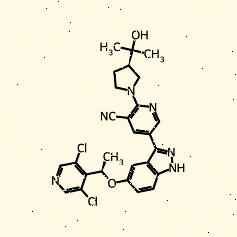 C[C@@H](Oc1ccc2[nH]nc(-c3cnc(N4CC[C@@H](C(C)(C)O)C4)c(C#N)c3)c2c1)c1c(Cl)cncc1Cl